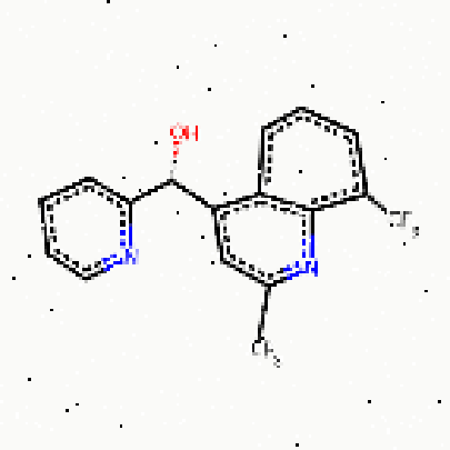 O[C@@H](c1ccccn1)c1cc(C(F)(F)F)nc2c(C(F)(F)F)cccc12